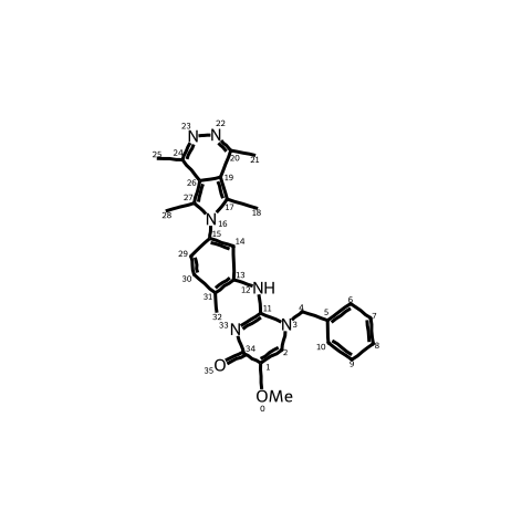 COc1cn(Cc2ccccc2)c(Nc2cc(-n3c(C)c4c(C)nnc(C)c4c3C)ccc2C)nc1=O